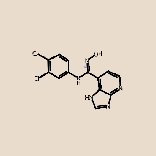 O/N=C(/Nc1ccc(Cl)c(Cl)c1)c1ccnc2nc[nH]c12